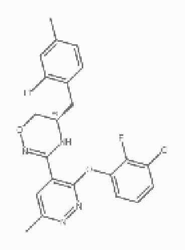 Cc1ccc(C[C@@H]2CON=C(c3cc(C)nnc3Oc3cccc(Cl)c3F)N2)c(Cl)c1